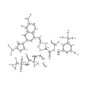 C=C[C@@H]1C[C@]1(NC(=O)[C@@H]1C[C@@H](Oc2cc(-c3nc(C(C)C)cs3)nc3c(C)c(OC)ccc23)CN1C(=O)[C@@H](Nc1cc(F)cc(C(F)(F)F)c1)C(=C)C)C(=O)NS(=O)(=O)C1(C)CC1